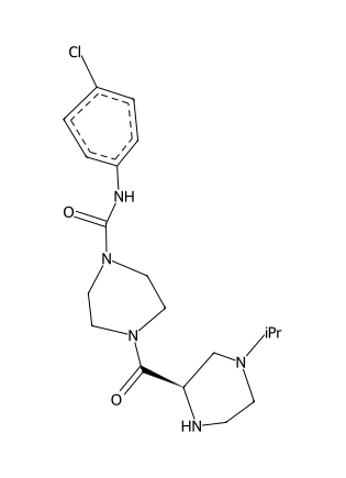 CC(C)N1CCN[C@@H](C(=O)N2CCN(C(=O)Nc3ccc(Cl)cc3)CC2)C1